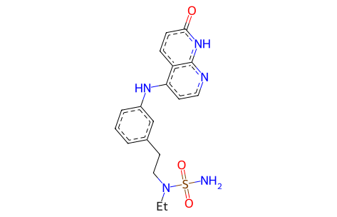 CCN(CCc1cccc(Nc2ccnc3[nH]c(=O)ccc23)c1)S(N)(=O)=O